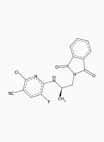 C[C@H](CN1C(=O)c2ccccc2C1=O)Nc1nc(Cl)c(C#N)cc1F